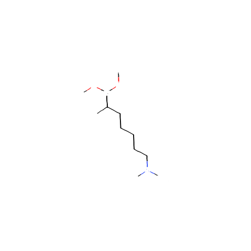 CCO[SiH](OCC)C(CC)CCCCCN(C)C(=O)O